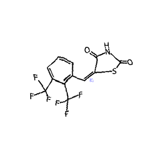 O=C1NC(=O)/C(=C\c2cccc(C(F)(F)F)c2C(F)(F)F)S1